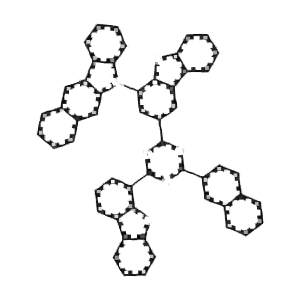 c1ccc2cc(-c3nc(-c4cc(-n5c6ccccc6c6cc7ccccc7cc65)c5oc6ccccc6c5c4)nc(-c4cccc5c4sc4ccccc45)n3)ccc2c1